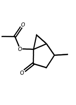 CC(=O)OC12CC1C(C)CC2=O